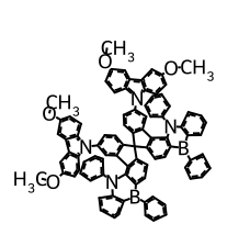 COc1ccc2c(c1)c1cc(OC)ccc1n2-c1ccc2c(c1)-c1c(ccc3c1N(c1ccccc1)c1ccccc1B3c1ccccc1)C21c2ccc(-n3c4ccc(OC)cc4c4cc(OC)ccc43)cc2-c2c1ccc1c2N(c2ccccc2)c2ccccc2B1c1ccccc1